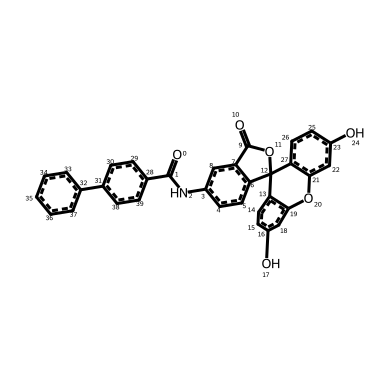 O=C(Nc1ccc2c(c1)C(=O)OC21c2ccc(O)cc2Oc2cc(O)ccc21)c1ccc(-c2ccccc2)cc1